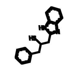 SC(Cc1ccccc1)Cc1nc2ccccc2[nH]1